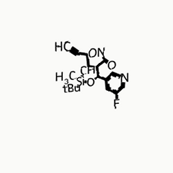 C#CCC[C@@H](C(=O)N=O)[C@H](O[Si](C)(C)C(C)(C)C)c1cncc(F)c1